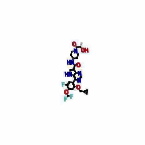 C[C@H](O)C(=O)N1CCC(NC(=O)c2c[nH]c3c(-c4cc(F)c(OC(F)F)cc4OCC4CC4)ncnc23)CC1